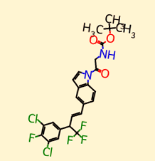 CC(C)(C)OC(=O)NCC(=O)n1ccc2cc(C=CC(c3cc(Cl)c(F)c(Cl)c3)C(F)(F)F)ccc21